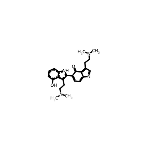 CN(C)CCC1=C2C(=O)C(c3[nH]c4cccc(O)c4c3CCN(C)C)=CC=C2N=C1